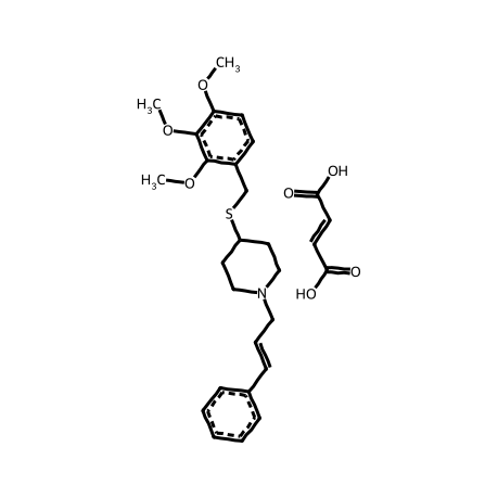 COc1ccc(CSC2CCN(CC=Cc3ccccc3)CC2)c(OC)c1OC.O=C(O)/C=C/C(=O)O